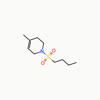 CCCCS(=O)(=O)N1CC=C(C)CC1